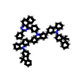 CC1(C)c2ccccc2-c2ccc(-n3c4ccccc4c4ccc(-c5ccc6c7ccc(-c8ccc9c%10ccccc%10n(-c%10ccc%11c(c%10)C(C)(C)c%10ccccc%10-%11)c9c8)cc7n(-c7cccc(-c8nc(-c9ccccc9)nc9ccc%10ccccc%10c89)c7)c6c5)cc43)cc21